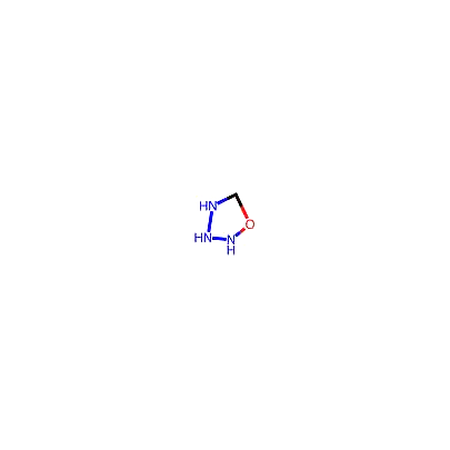 C1NNNO1